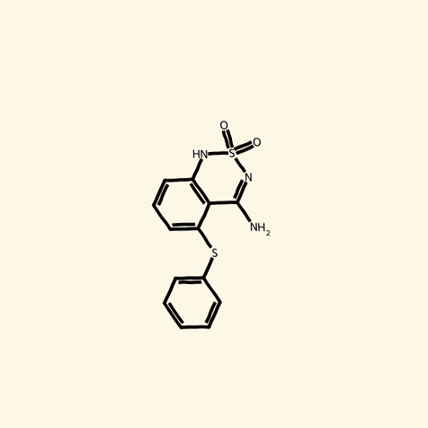 NC1=NS(=O)(=O)Nc2cccc(Sc3ccccc3)c21